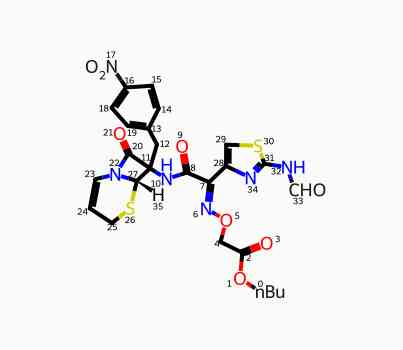 CCCCOC(=O)CON=C(C(=O)NC1(Cc2ccc([N+](=O)[O-])cc2)C(=O)N2C=CCS[C@H]21)c1csc(NC=O)n1